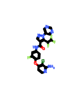 Nc1nccc(Oc2ccc(NC(=O)c3cnn(-c4cncnc4)c3C(F)C(F)F)cc2F)c1Cl